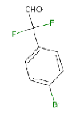 O=[C]C(F)(F)c1ccc(Br)cc1